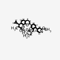 CCN(Cc1cc([C@@H]2CCc3ccc(C(C4CC4)[C@H](C)C(=O)O)cc3O2)ccc1-c1ccnc(OC)c1)C(C)(C)C